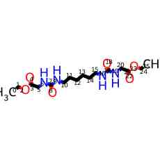 CCOC(=O)CNC(=O)NCCCCCCNC(=O)NCC(=O)OCC